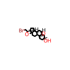 CC12CCC3[C@@H](C[C@H]4OC[C@@]35CC[C@@](C)(O)CC45)[C@@H]1CC[C@@H]2C(=O)CBr